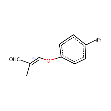 C/C(C=O)=C\Oc1ccc(C(C)C)cc1